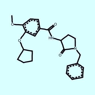 COc1ccc(C(=O)NC2CCN(Cc3ccccc3)C2=O)cc1OC1CCCC1